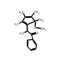 COC1(C)C(C)=C(C)C(C)=C1C(C)C(=O)c1ccccc1